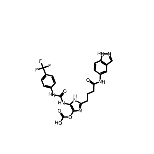 O=C(CCCc1nc(OC(=O)O)c(NC(=O)Nc2ccc(C(F)(F)F)cc2)[nH]1)Nc1ccc2[nH]ncc2c1